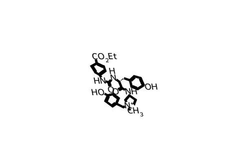 CCOC(=O)c1ccc(NC(=O)N[C@H](Cc2ccc(O)cc2)C(=O)N[C@@H]2CC[N+](C)(Cc3ccc(O)cc3)C2)cc1